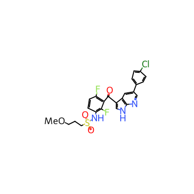 COCCCS(=O)(=O)Nc1ccc(F)c(C(=O)c2c[nH]c3ncc(-c4ccc(Cl)cc4)cc23)c1F